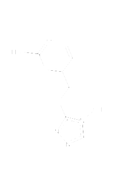 CC(=O)OC([C]=S)CSc1nncn1C